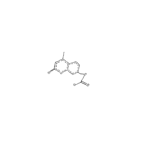 Cc1cc(=O)oc2cc(OC(=O)Cl)ccc12